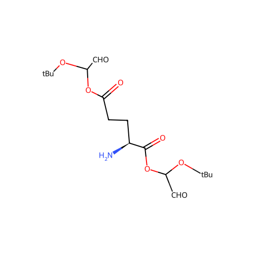 CC(C)(C)OC(C=O)OC(=O)CC[C@H](N)C(=O)OC(C=O)OC(C)(C)C